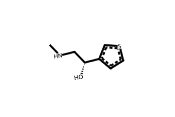 CNC[C@@H](O)c1ccsc1